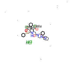 COC(=O)C1=C(CC(=O)N2CCN(C3CC4CCC(C3)N4Cc3ccccc3)CC2)NC(C[S+]([O-])c2ccccc2)=C(C(=O)OC)[C@H]1c1c(Cl)cccc1Cl.Cl.Cl